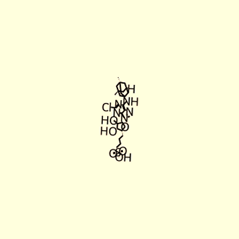 C[C@]12C[C@@H]3C[C@](C)(C1)C[C@@](Nc1nc(Cl)nc4c1ncn4[C@@H]1O[C@H](CCCCS(=O)(=O)O)C(O)C1O)(C3)C2